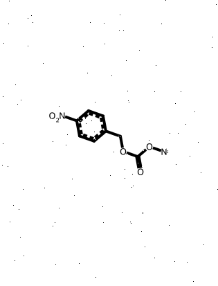 [N]OC(=O)OCc1ccc([N+](=O)[O-])cc1